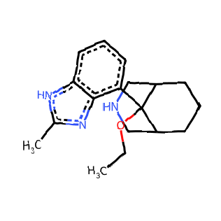 CCOC1(c2cccc3[nH]c(C)nc23)C2CCCC1CNC2